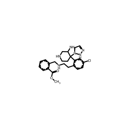 COC(=O)c1ccccc1CNCCc1ccc(Cl)cc1C1(N2CC=NN2)CCNCC1N